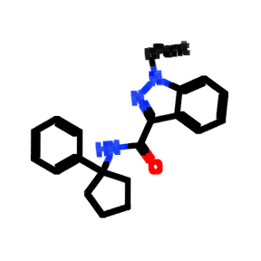 CCCCCn1nc(C(=O)NC2(c3ccccc3)CCCC2)c2ccccc21